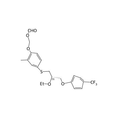 CCO[C@@H](COc1ccc(C(F)(F)F)cc1)CSc1ccc(OCOC=O)c(C)c1